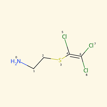 NCCSC(Cl)=C(Cl)Cl